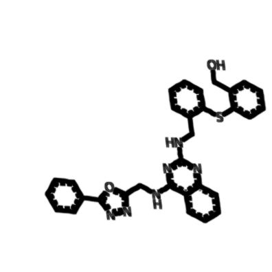 OCc1ccccc1Sc1ccccc1CNc1nc(NCc2nnc(-c3ccccc3)o2)c2ccccc2n1